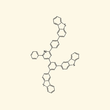 c1ccc(-c2cc(-c3cc(-c4ccc5sc6ccccc6c5c4)cc(-c4ccc5sc6ccccc6c5c4)c3)cc(-c3ccc(-c4ccc5sc6ccccc6c5c4)cc3)n2)cc1